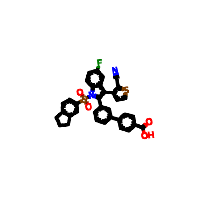 N#Cc1sccc1-c1c(-c2cccc(-c3ccc(C(=O)O)cc3)c2)n(S(=O)(=O)c2ccc3c(c2)CCC3)c2ccc(F)cc12